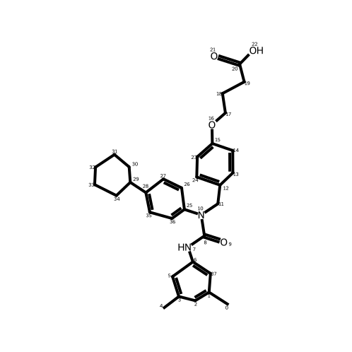 Cc1cc(C)cc(NC(=O)N(Cc2ccc(OCCCC(=O)O)cc2)c2ccc(C3CCCCC3)cc2)c1